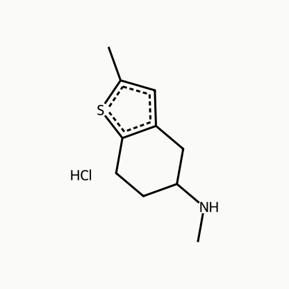 CNC1CCc2sc(C)cc2C1.Cl